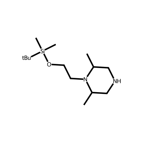 CC1CNCC(C)N1CCO[Si](C)(C)C(C)(C)C